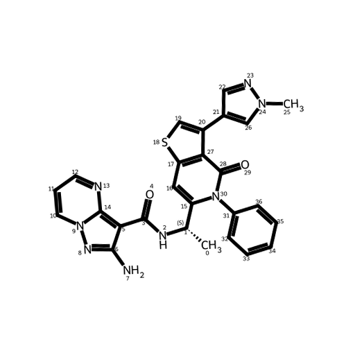 C[C@H](NC(=O)c1c(N)nn2cccnc12)c1cc2scc(-c3cnn(C)c3)c2c(=O)n1-c1ccccc1